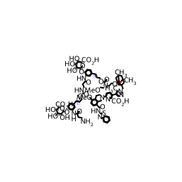 COCCN(CCOC12CC3(C)CC(C)(CC(Cn4ncc(-c5ccc(N6CCc7c(OC)ccc(C(=O)Nc8nc9ccccc9s8)c7C6)nc5C(=O)O)c4C)(C3)C1)C2)C(=O)OC/C=C/c1ccc(O[C@@H]2O[C@H](C(=O)O)[C@@H](O)[C@H](O)[C@H]2O)c(NC(=O)CCNC(=O)OC/C=C/c2ccc(O[C@@H]3O[C@H](C(=O)O)[C@@H](O)[C@H](O)[C@H]3O)c(NC(=O)CCN)c2)c1